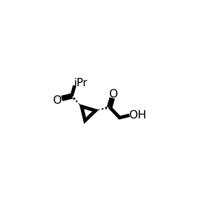 CC(C)C(=O)[C@H]1C[C@H]1C(=O)CO